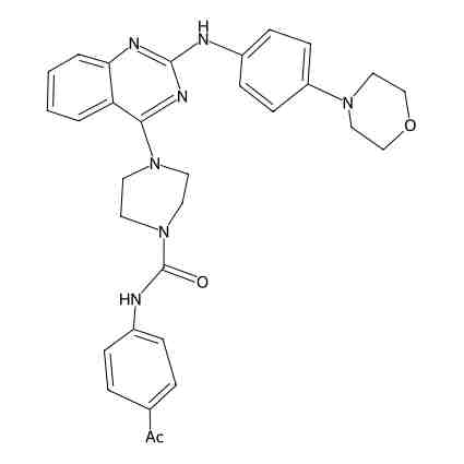 CC(=O)c1ccc(NC(=O)N2CCN(c3nc(Nc4ccc(N5CCOCC5)cc4)nc4ccccc34)CC2)cc1